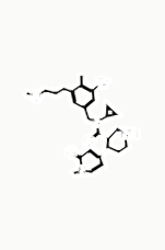 COCCCc1cc(CN(C(=O)[C@H]2CNCC[C@H]2c2ccn(C)c(=O)c2)C2CC2)cc(Br)c1C